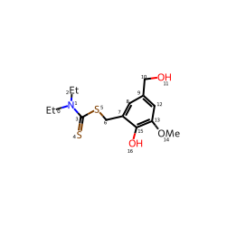 CCN(CC)C(=S)SCc1cc(CO)cc(OC)c1O